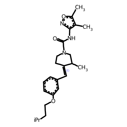 Cc1onc(NC(=O)N2CC/C(=C\c3cccc(OCCC(C)C)c3)C(C)C2)c1C